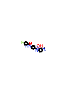 CN(C)c1ccc2nc(-c3ccc(NC(=O)c4ccc(F)cc4)cc3)n(O)c2c1